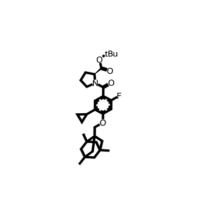 CC12CC3(C)CC(C)(C1)C(COc1cc(F)c(C(=O)N4CCC[C@H]4C(=O)OC(C)(C)C)cc1C1CC1)(C2)C3